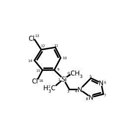 C[Si](C)(Cn1cncn1)c1ccc(Cl)cc1Cl